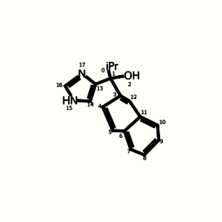 CC(C)C(O)(c1ccc2ccccc2c1)c1c[nH]cn1